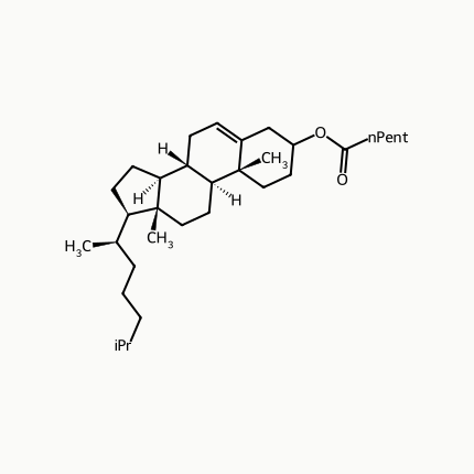 CCCCCC(=O)OC1CC[C@@]2(C)C(=CC[C@H]3[C@@H]4CC[C@H]([C@H](C)CCCC(C)C)[C@@]4(C)CC[C@@H]32)C1